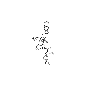 CCC(=O)N[C@@H](Cc1nc2ccc(CC)cc2s1)C(=O)N[C@H](CNC(=O)C(C)CN1CCN(C)CC1)C1CCOCC1